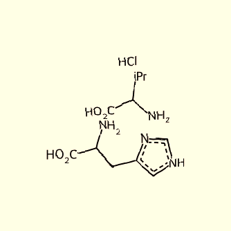 CC(C)C(N)C(=O)O.Cl.NC(Cc1c[nH]cn1)C(=O)O